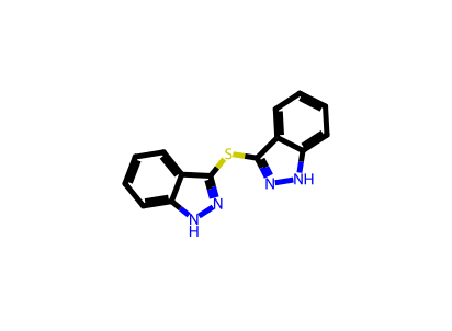 c1ccc2c(Sc3n[nH]c4ccccc34)n[nH]c2c1